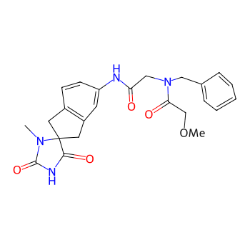 COCC(=O)N(CC(=O)Nc1ccc2c(c1)CC1(C2)C(=O)NC(=O)N1C)Cc1ccccc1